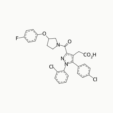 O=C(O)Cc1c(C(=O)N2CCC(Oc3ccc(F)cc3)C2)nn(-c2ccccc2Cl)c1-c1ccc(Cl)cc1